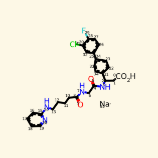 O=C(O)CC(NC(=O)CNC(=O)CCCCNc1ccccn1)c1ccc(-c2ccc(F)c(Cl)c2)cc1.[Na]